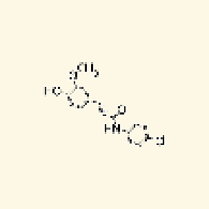 COc1cc(/C=C/C(=O)Nc2ccc(Cl)cc2)ccc1O